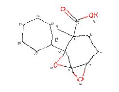 CC1(C(=O)O)CCC2OC23OC13C1CCCCC1